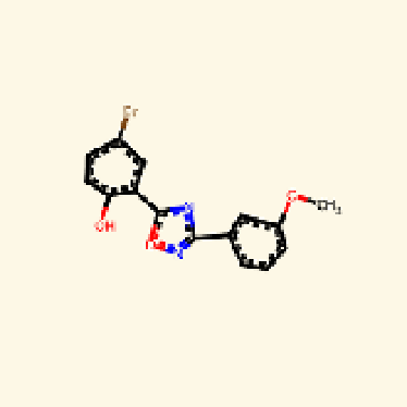 COc1cccc(-c2noc(-c3cc(Br)ccc3O)n2)c1